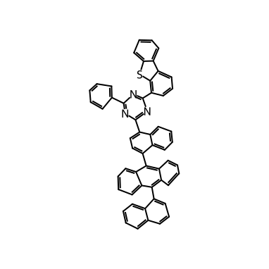 c1ccc(-c2nc(-c3ccc(-c4c5ccccc5c(-c5cccc6ccccc56)c5ccccc45)c4ccccc34)nc(-c3cccc4c3sc3ccccc34)n2)cc1